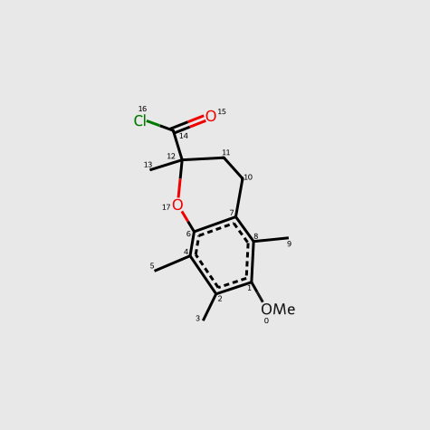 COc1c(C)c(C)c2c(c1C)CCC(C)(C(=O)Cl)O2